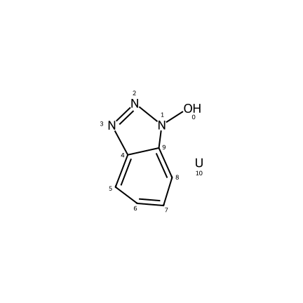 On1nnc2ccccc21.[U]